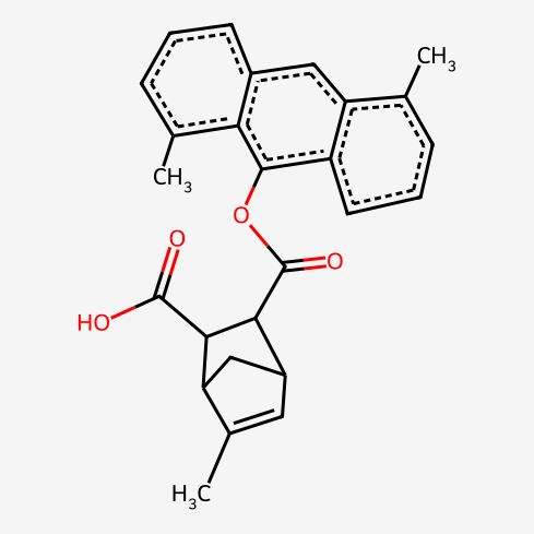 CC1=CC2CC1C(C(=O)O)C2C(=O)Oc1c2cccc(C)c2cc2cccc(C)c12